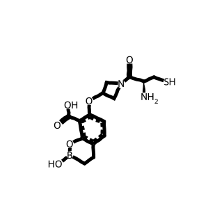 N[C@H](CS)C(=O)N1CC(Oc2ccc3c(c2C(=O)O)OB(O)CC3)C1